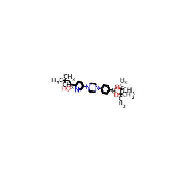 CC(C)(C)CC(O)c1ccc(N2CCN(c3ccc(B4OC(C)(C)C(C)(C)O4)cc3)CC2)cn1